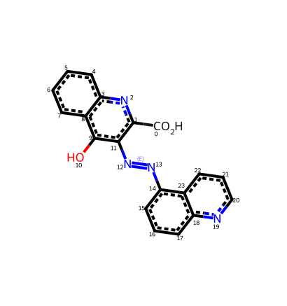 O=C(O)c1nc2ccccc2c(O)c1/N=N/c1cccc2ncccc12